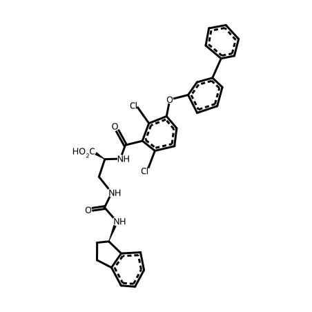 O=C(NC[C@H](NC(=O)c1c(Cl)ccc(Oc2cccc(-c3ccccc3)c2)c1Cl)C(=O)O)N[C@@H]1CCc2ccccc21